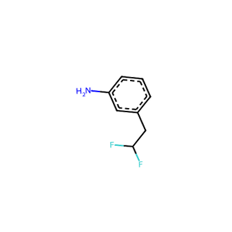 Nc1cccc(CC(F)F)c1